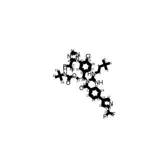 CC(C)(C)CCNC(=N)N(C(=O)c1ccc(-c2cnn(C(F)F)c2)cc1)[C@H](COC(=O)NC(C)(C)C)c1ccc(Cl)c(-n2ncnc2C(F)F)c1